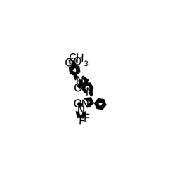 CS(=O)(=O)c1ccc(CN2CCC3(CCN(C[C@H]4CN(C(=O)N5CCC(F)(F)C5)C[C@@H]4c4ccccc4)CC3)C2=O)cc1